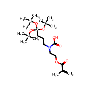 C=C(C)C(=O)OCCN(CCC[Si](O[Si](C)(C)C)(O[Si](C)(C)C)O[Si](C)(C)C)C(=O)O